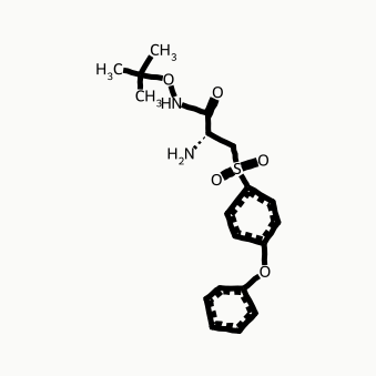 CC(C)(C)ONC(=O)[C@@H](N)CS(=O)(=O)c1ccc(Oc2ccccc2)cc1